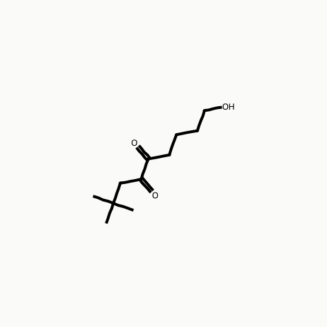 CC(C)(C)CC(=O)C(=O)CCCCO